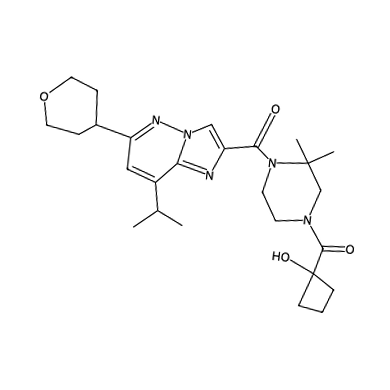 CC(C)c1cc(C2CCOCC2)nn2cc(C(=O)N3CCN(C(=O)C4(O)CCC4)CC3(C)C)nc12